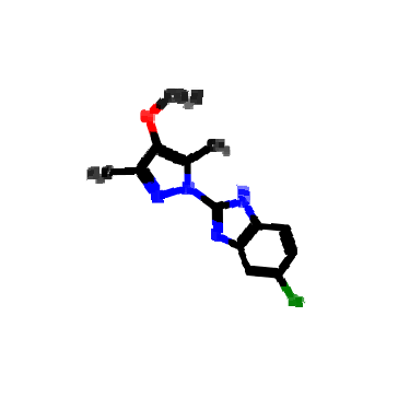 Cc1nn(-c2nc3cc(Br)ccc3[nH]2)c(C)c1OC(=O)O